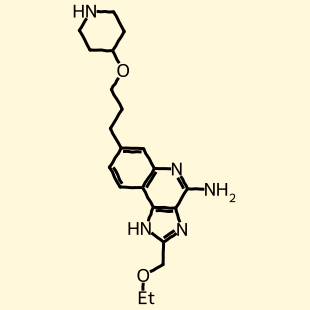 CCOCc1nc2c(N)nc3cc(CCCOC4CCNCC4)ccc3c2[nH]1